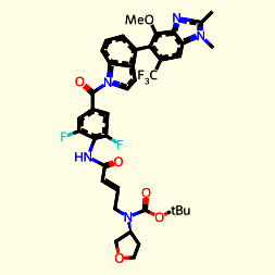 COc1c(-c2cccc3c2ccn3C(=O)c2cc(F)c(NC(=O)/C=C/CN(C(=O)OC(C)(C)C)[C@H]3CCOC3)c(F)c2)c(C(F)(F)F)cc2c1nc(C)n2C